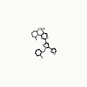 CC1CCCC(C(=O)O)N1c1nc(-c2cc(-c3ccon3)n(Cc3ccccc3F)n2)ncc1F